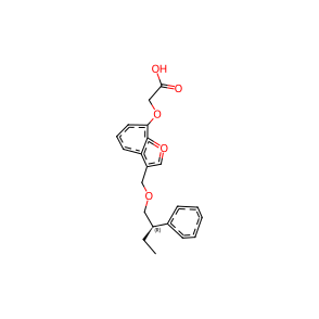 CC[C@@H](COCc1coc2c(OCC(=O)O)cccc12)c1ccccc1